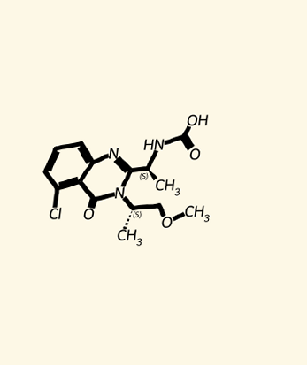 COC[C@H](C)n1c([C@H](C)NC(=O)O)nc2cccc(Cl)c2c1=O